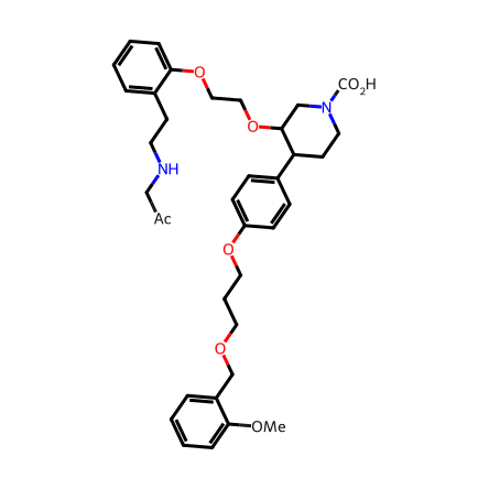 COc1ccccc1COCCCOc1ccc(C2CCN(C(=O)O)CC2OCCOc2ccccc2CCNCC(C)=O)cc1